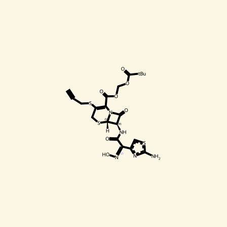 C#CCSC1=C(C(=O)OCOC(=O)C(C)(C)C)N2C(=O)[C@@H](NC(=O)/C(=N\O)c3csc(N)n3)[C@@H]2SC1